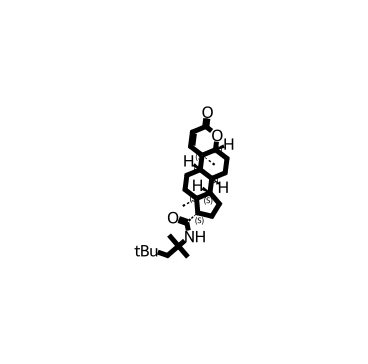 CC(C)(C)CC(C)(C)NC(=O)[C@H]1CC[C@H]2[C@@H]3CC[C@H]4OC(=O)C=C[C@]4(C)[C@H]3CC[C@]12C